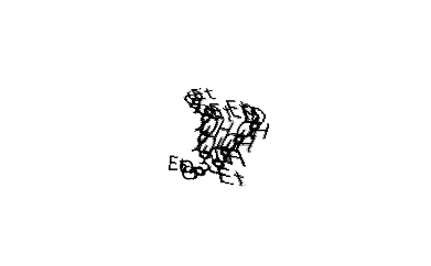 CCOCOc1ccc(C(C)c2cc(C(C)c3cc(C(C)c4cc(C(C)CC(CC(CC)c5ccc(O)c(C(C)c6ccc(O)c(C(C)c7ccc(O)c(C(C)c8ccc(OC(C)OCC)cc8)c7)c6)c5)c5ccc(OC(C)OCC)cc5)ccc4O)ccc3O)ccc2OC(C)OCC)cc1